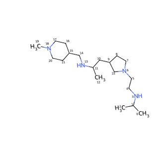 CC(C)NCCN1CCC(CC(C)NCC2CCN(C)CC2)C1